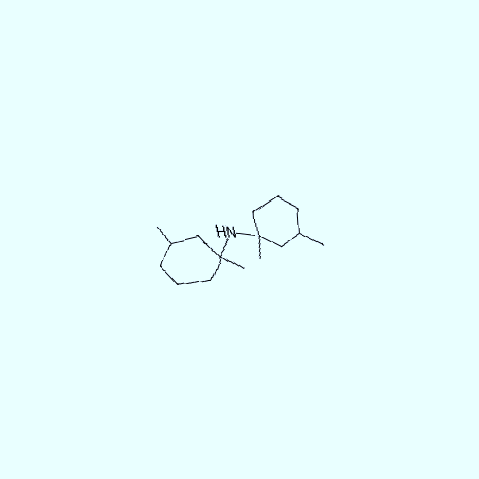 CC1CCCC(C)(NC2(C)CCCC(C)C2)C1